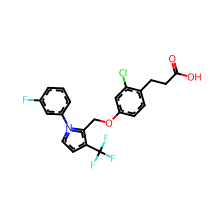 O=C(O)CCc1ccc(OCc2c(C(F)(F)F)ccn2-c2cccc(F)c2)cc1Cl